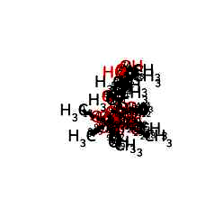 CCCCOCC1O[C@@H](OC2C(O[C@@H](COCCCC)OC[C@H](COCCCC)OCCCC)[C@H](O)C(C3OC(c4ccccc4)O3)O[C@H]2O[C@H]2CCC3(C)C(CCC4(C)C3CC=C3C5CC(C)(C)CC[C@]5(C(=O)O)C(O)CC34C)C2(C)C=O)C(O)C(OCCCC)[C@H]1OCCCC